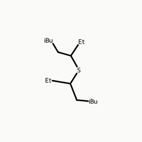 CCC(C)CC(CC)SC(CC)CC(C)CC